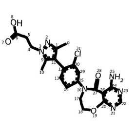 Cc1nn(CCC(=O)O)c(C)c1-c1ccc(N2CCOc3ncnc(N)c3C2=O)cc1Cl